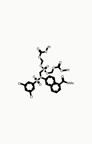 CNC(=O)c1cccc2cc(N(CP(=O)(OCOC(=O)OC(C)C)OCOC(=O)OC(C)C)S(=O)(=O)c3cc(Cl)cc(Cl)c3)ccc12